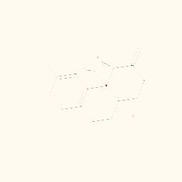 C=C1CC[C@@]2(O)[C@H](C)Cc3ccc(O)c4c3C2(CI)[C@H]1O4